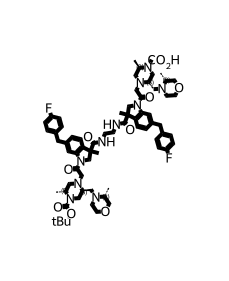 C[C@@H]1COCCN1C[C@H]1CN(C(=O)O)[C@H](C)CN1CC(=O)N1CC(C)(C(=O)NCCNC(=O)C2(C)CN(C(=O)CN3C[C@@H](C)N(C(=O)OC(C)(C)C)C[C@@H]3CN3CCOC[C@H]3C)c3cc(Cc4ccc(F)cc4)ccc32)c2ccc(Cc3ccc(F)cc3)cc21